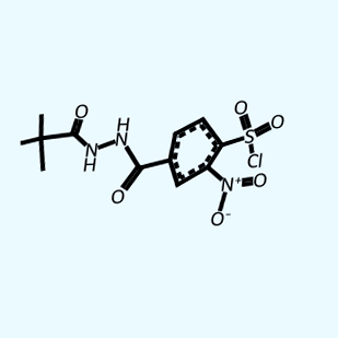 CC(C)(C)C(=O)NNC(=O)c1ccc(S(=O)(=O)Cl)c([N+](=O)[O-])c1